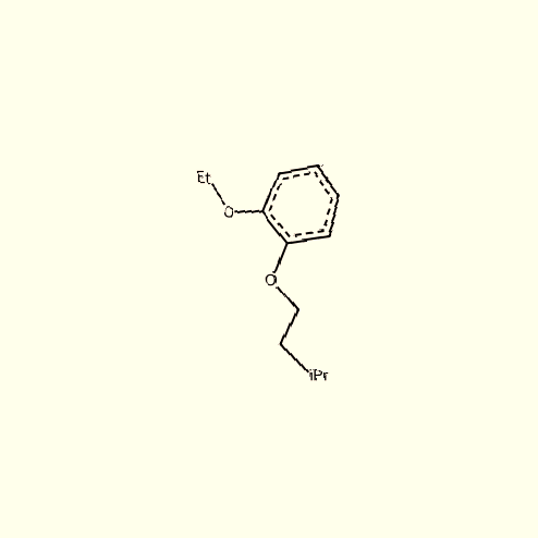 CCOc1c[c]ccc1OCCC(C)C